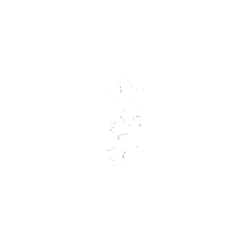 CC[C@H](O[C@]12CC[C@H](C1)c1cc(-c3c(F)cccc3F)nnc12)c1nnc(C)o1